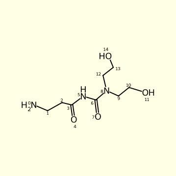 NCCC(=O)NC(=O)N(CCO)CCO